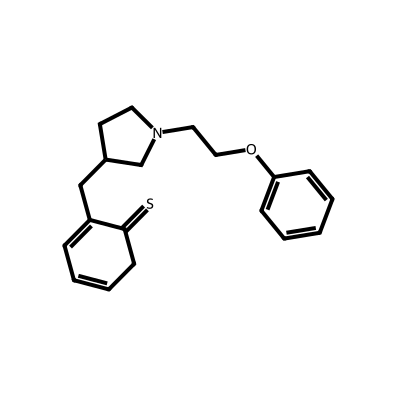 S=C1CC=CC=C1CC1CCN(CCOc2ccccc2)C1